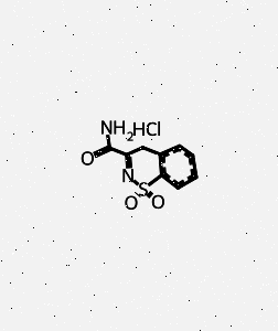 Cl.NC(=O)C1=NS(=O)(=O)c2ccccc2C1